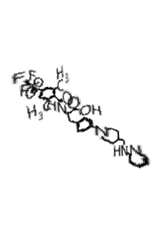 Cc1cc(S(=O)(=O)C(F)(F)F)cc(C)c1C(=O)NC(Cc1ccc(N2CCC(CNc3ccccn3)CC2)cc1)C(=O)O